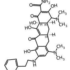 CN(C)c1cc(NCCc2ccccc2)c(O)c2c1C[C@@H]1C[C@@H]3C(N(C)C)C(O)=C(C(N)=O)C(=O)[C@]3(O)C(O)=C1C2=O